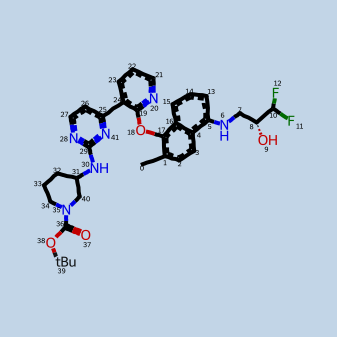 Cc1ccc2c(NC[C@@H](O)C(F)F)cccc2c1Oc1ncccc1-c1ccnc(NC2CCCN(C(=O)OC(C)(C)C)C2)n1